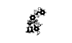 COc1ccc(CNS(=O)(=O)c2cc(NC(=O)Cc3ccccc3Cl)ccc2-n2cc(N(CC3CC3)CC3CC3)cn2)c(OC)c1